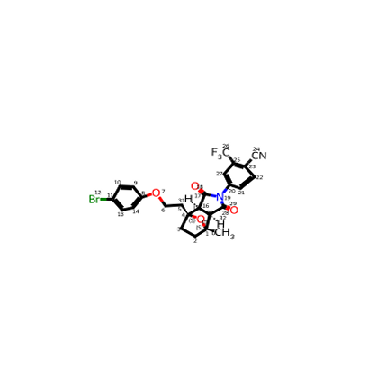 C[C@@]12CC[C@@](CCOc3ccc(Br)cc3)(O1)[C@H]1C(=O)N(c3ccc(C#N)c(C(F)(F)F)c3)C(=O)[C@H]12